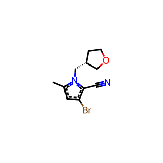 Cc1cc(Br)c(C#N)n1C[C@@H]1CCOC1